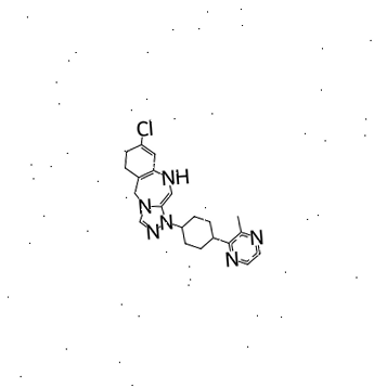 Cc1nccnc1C1CCC(N2N=CN3CC4=C(C=C(Cl)CC4)NC=C32)CC1